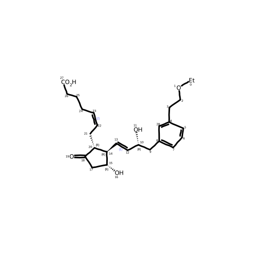 CCOCCc1cccc(C[C@@H](O)/C=C/[C@H]2[C@H](O)CC(=O)[C@@H]2C/C=C\CCCC(=O)O)c1